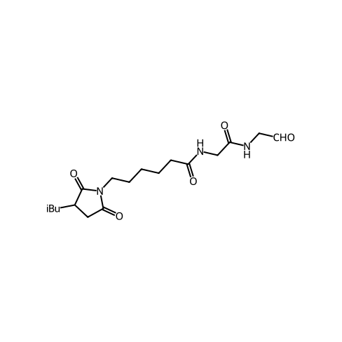 CCC(C)C1CC(=O)N(CCCCCC(=O)NCC(=O)NCC=O)C1=O